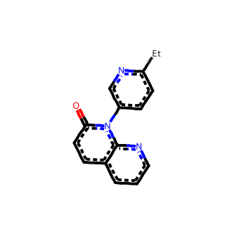 CCc1ccc(-n2c(=O)ccc3cccnc32)cn1